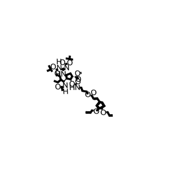 C=CCOc1ccc(/C=C/C(=O)OCCCNC(=O)O[C@H]2[C@@H](C(NC(C)=O)C(CC)CC)[C@H](NC(=NC(=O)OC(C)(C)C)NC(=O)OC(C)(C)C)C[C@@H]2C(=O)OC)cc1OCC=C